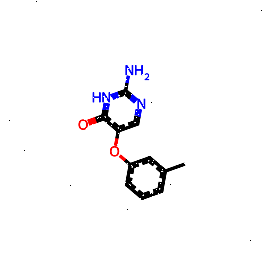 Cc1cccc(Oc2cnc(N)[nH]c2=O)c1